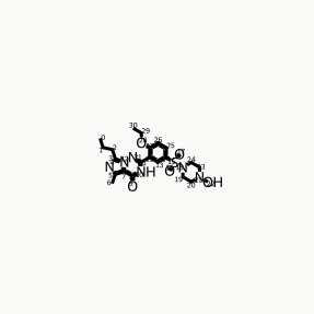 CCCc1nc(C)c2c(=O)[nH]c(-c3cc(S(=O)(=O)N4CCN(O)CC4)ccc3OCC)nn12